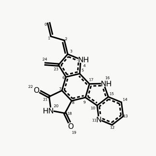 C=C/C=c1/[nH]c2c(c3c(c4c5ncccc5[nH]c24)C(=O)NC3=O)c1=C